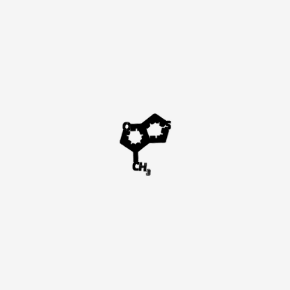 Cc1coc2cscc12